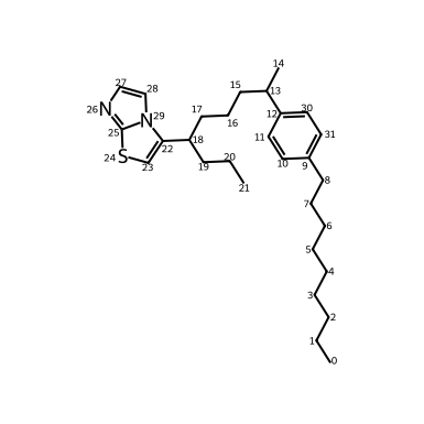 CCCCCCCCCc1ccc(C(C)CCCC(CCC)c2csc3nccn23)cc1